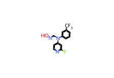 ON=CN(c1cccc(C(F)(F)F)c1)c1ccnc(F)c1